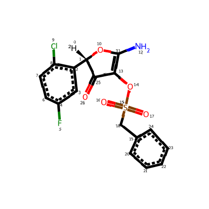 [2H][C@@]1(c2cc(F)ccc2Cl)OC(N)=C(OS(=O)(=O)Cc2ccccc2)C1=O